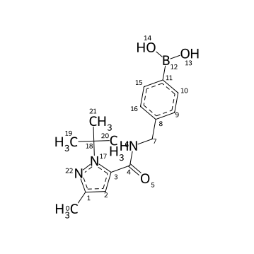 Cc1cc(C(=O)NCc2ccc(B(O)O)cc2)n(C(C)(C)C)n1